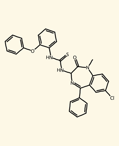 CN1C(=O)C(NC(=S)Nc2ccccc2Oc2ccccc2)N=C(c2ccccc2)c2cc(Cl)ccc21